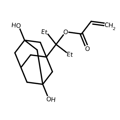 C=CC(=O)OC(CC)(CC)C12CC3CC(O)(CC(O)(C3)C1)C2